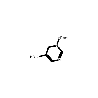 CCCCCN1C=NC=C(C(=O)O)C1